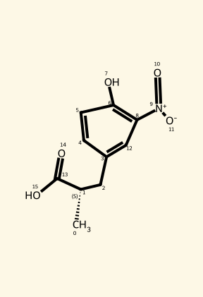 C[C@@H](Cc1ccc(O)c([N+](=O)[O-])c1)C(=O)O